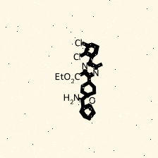 CCOC(=O)c1nc(-c2cccc(Cl)c2Cl)c(C)nc1C1CCC2(CC1)Oc1ccccc1[C@H]2N